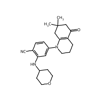 CC1(C)CC(=O)C2=C(C1)N(c1ccc(C#N)c(NC3CCOCC3)c1)CCC2